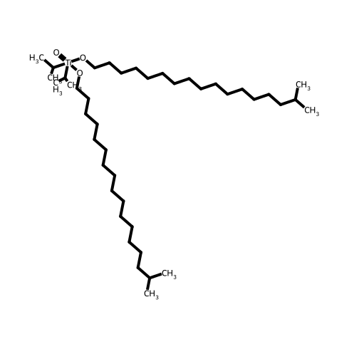 CC(C)CCCCCCCCCCCCCCC[O][Ti](=[O])([O]CCCCCCCCCCCCCCCC(C)C)([CH](C)C)[CH](C)C